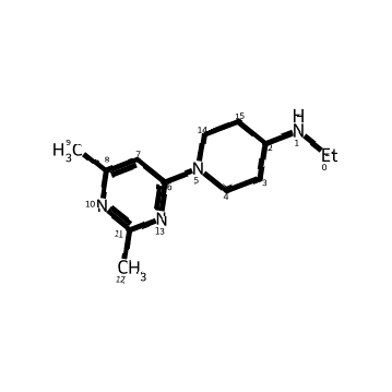 CCNC1CCN(c2cc(C)nc(C)n2)CC1